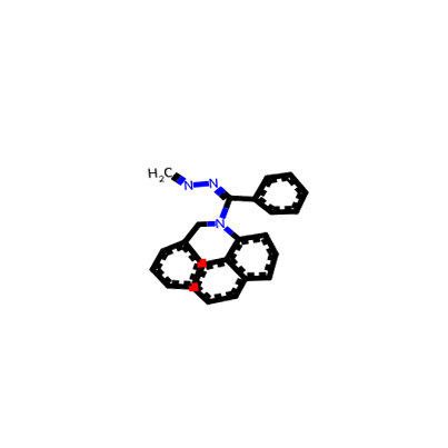 C=N/N=C(/c1ccccc1)N(Cc1ccccc1)c1cccc2ccccc12